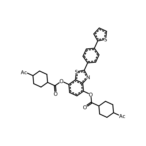 CC(=O)C1CCC(C(=O)Oc2ccc(OC(=O)C3CCC(C(C)=O)CC3)c3sc(-c4ccc(-c5cccs5)cc4)nc23)CC1